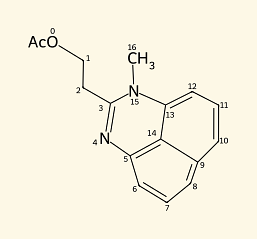 CC(=O)OCCC1=Nc2cccc3cccc(c23)N1C